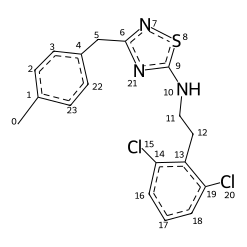 Cc1ccc(Cc2nsc(NCCc3c(Cl)cccc3Cl)n2)cc1